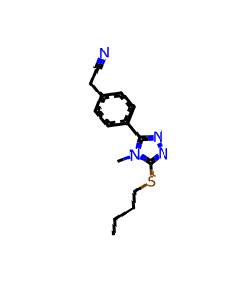 CCCCSc1nnc(-c2ccc(CC#N)cc2)n1C